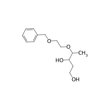 CC(OCCOCc1ccccc1)C(O)CCO